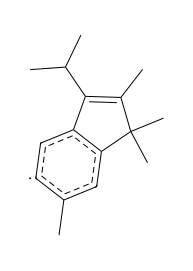 CC1=C(C(C)C)c2c[c]c(C)cc2C1(C)C